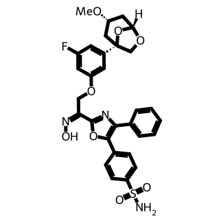 CO[C@@H]1C[C@@H]2OC[C@@](c3cc(F)cc(OC/C(=N/O)c4nc(-c5ccccc5)c(-c5ccc(S(N)(=O)=O)cc5)o4)c3)(C1)O2